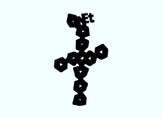 CCn1c2ccccc2c2cc(-c3ccc(-c4c5ccc(-c6ccccc6)cc5c(-c5ccc(-c6ccc(-c7ccccc7)cc6)cc5)c5ccc(-c6ccccc6)cc45)cc3)ccc21